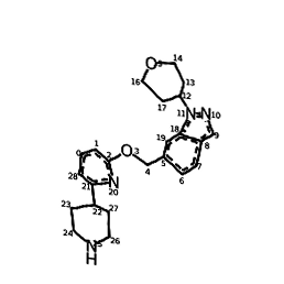 c1cc(OCc2ccc3cnn(C4CCOCC4)c3c2)nc(C2CCNCC2)c1